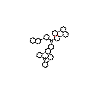 c1ccc(-c2cccc3cccc(-c4ccc(N(c5cccc(-c6ccc7ccccc7c6)c5)c5ccc6ccc(-c7ccccc7-n7c8ccccc8c8ccccc87)cc6c5)cc4)c23)cc1